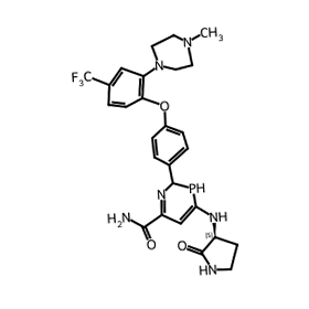 CN1CCN(c2cc(C(F)(F)F)ccc2Oc2ccc(C3N=C(C(N)=O)C=C(N[C@H]4CCNC4=O)P3)cc2)CC1